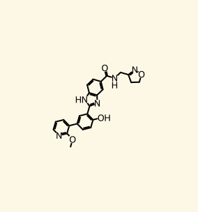 COc1ncccc1-c1ccc(O)c(-c2nc3cc(C(=O)NCC4=NOCC4)ccc3[nH]2)c1